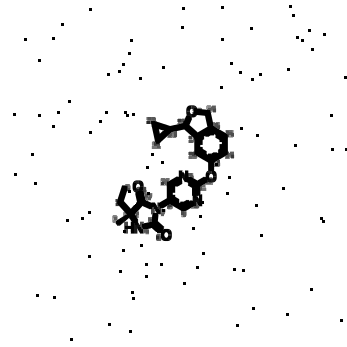 CC[C@@]1(C)NC(=O)N(c2cnc(Oc3ccc4c(c3)C(C3CC3)OC4)nc2)C1=O